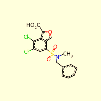 CN(Cc1ccccc1)S(=O)(=O)c1cc(Cl)c(Cl)c2c(C(=O)O)occ12